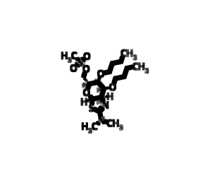 CCCCO[C@@H]1[C@H]2N=C(N(C)C)S[C@H]2O[C@H](COS(C)(=O)=O)[C@H]1OCCCC